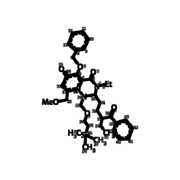 CCN1C(=O)c2c(OCc3ccccc3)c(=O)cc(COC)n2N(COCC[Si](C)(C)C)C1CCC(CC(F)(F)F)C(=O)c1ccccc1